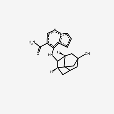 NC(=O)c1cnn2cccc2c1NC1[C@H]2CC3C[C@H]1CC(O)(C3)C2